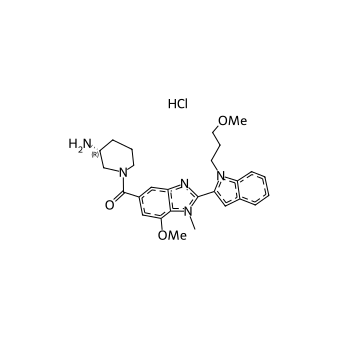 COCCCn1c(-c2nc3cc(C(=O)N4CCC[C@@H](N)C4)cc(OC)c3n2C)cc2ccccc21.Cl